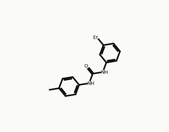 CCc1cccc(NC(=O)Nc2ccc(C)cc2)c1